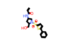 C=CC(=O)NC1CC(CO)N(S(=O)(=O)c2ccc(-c3ccccc3)s2)C1